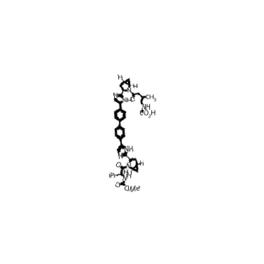 COC(=O)N[C@H](C(=O)N1[C@@H](c2ncc(-c3ccc(-c4ccc(-c5cnc([C@H]6C[C@H]7C[C@H]7N6C(=O)CC(C)CNC(=O)O)[nH]5)cc4)cc3)[nH]2)C[C@@H]2C[C@H]21)C(C)C